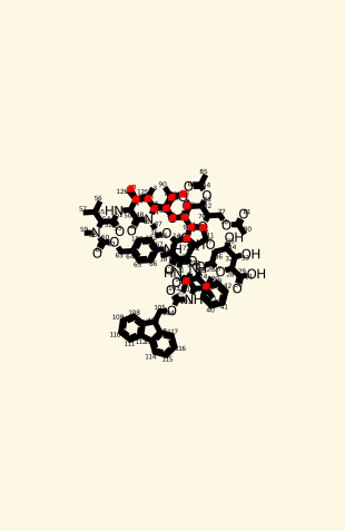 CCC(C)C(C(CC(=O)N1CCCC1C(OC)C(C)C(=O)NC(C)C(OC1OC(C(=O)O)C(O)C(O)C1O)c1ccccc1)OC)N(C)C(=O)C(NC(=O)C(C(C)C)N(C)C(=O)OCc1ccc(NC(=O)C(COC2OC(COC(C)=O)C(OC(C)=O)C(OC(C)=O)C2OC(C)=O)NC(=O)C(NC(=O)OCC2c3ccccc3-c3ccccc32)C(C)C)cc1)C(C)C